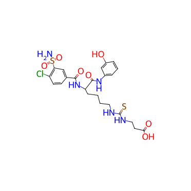 NS(=O)(=O)c1cc(C(=O)NC(CCCCNC(=S)NCCC(=O)O)C(=O)Nc2cccc(O)c2)ccc1Cl